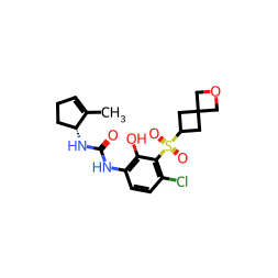 CC1=CCC[C@H]1NC(=O)Nc1ccc(Cl)c(S(=O)(=O)C2CC3(COC3)C2)c1O